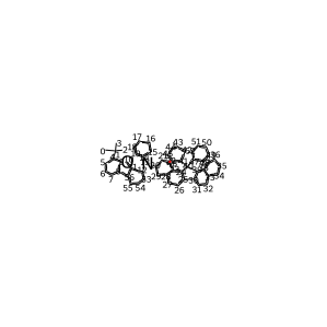 CC(C)(C)c1cccc2c1oc1c(N(c3ccccc3)c3ccc4c5c(ccc4c3)-c3ccc4ccccc4c3C5(c3ccccc3)c3ccccc3)cccc12